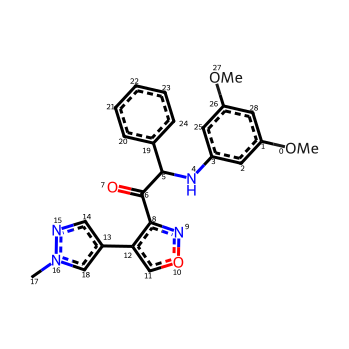 COc1cc(NC(C(=O)c2nocc2-c2cnn(C)c2)c2ccccc2)cc(OC)c1